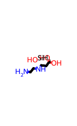 NCCNCCC(O)O.O[SiH3]